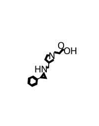 O=C(O)CCN1CC[C@H](CN[C@@H]2C[C@H]2c2ccccc2)C1